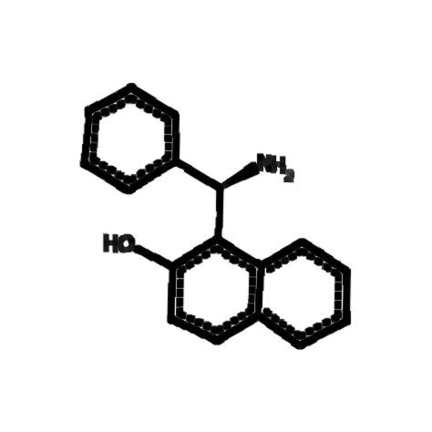 N[C@H](c1ccccc1)c1c(O)ccc2ccccc12